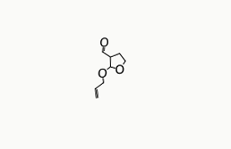 C=CCOC1OCCC1C=O